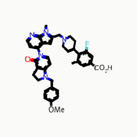 COc1ccc(CN2CCc3c2ccn(-c2ccnc4c2cc(CN2CCC(c5c(C)cc(C(=O)O)cc5F)CC2)n4C)c3=O)cc1